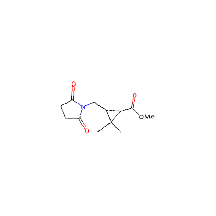 COC(=O)C1C(CN2C(=O)CCC2=O)C1(C)C